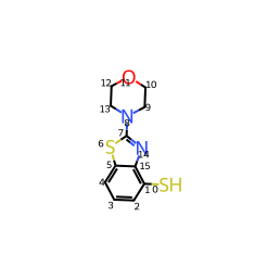 Sc1cccc2sc(N3CCOCC3)nc12